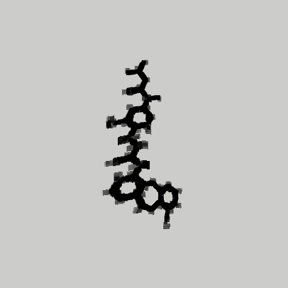 CC(C)CC(=O)N(C)c1cnc(NNC(=S)Nc2nccc3c2Cc2cccc(F)c2CC3)c(Cl)c1